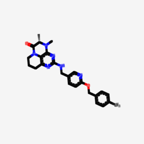 C[C@H]1C(=O)N2CCCc3nc(NCc4ccc(OCc5ccc(C(F)(F)F)cc5)nc4)nc(c32)N1C